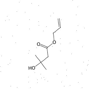 C=CCOC(=O)CC(C)(C)O